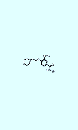 COc1cc(C(=O)NC(C)C)ccc1OCCN1CCOCC1